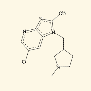 CN1CCC(Cn2c(O)nc3ncc(Cl)cc32)C1